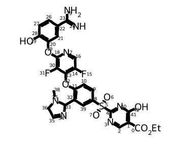 CCOC(=O)c1cnc(S(=O)(=O)c2ccc(Oc3c(F)cnc(Oc4cc(C(=N)N)ccc4O)c3F)c(C3N=CCN3C)c2)nc1O